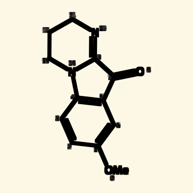 COc1ccc2c(c1)C(=O)C1=NCCCN12